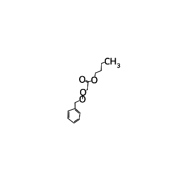 CCCCOC(=O)COOCc1ccccc1